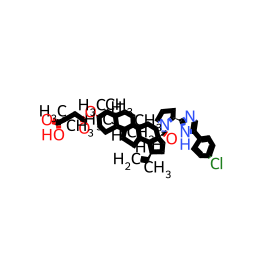 C=C(C)[C@@H]1CC[C@]2(C(=O)N3CCC[C@@H]3c3ncc(-c4ccc(Cl)cc4)[nH]3)CC[C@]3(C)[C@H](CC[C@@H]4[C@@]5(C)CC[C@H](OC(=O)CC(C)(C)C(=O)O)C(C)(C)[C@@H]5CC[C@]43C)[C@@H]12